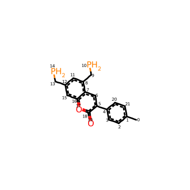 Cc1ccc(-c2cc3c(CP)cc(CP)cc3oc2=O)cc1